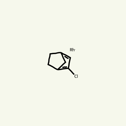 ClC1=C2CCC(=C1)C2.[Rh]